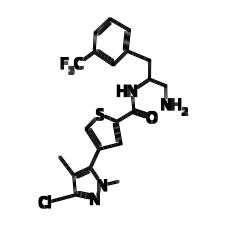 Cc1c(Cl)nn(C)c1-c1csc(C(=O)NC(CN)Cc2cccc(C(F)(F)F)c2)c1